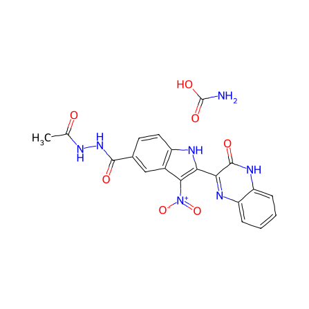 CC(=O)NNC(=O)c1ccc2[nH]c(-c3nc4ccccc4[nH]c3=O)c([N+](=O)[O-])c2c1.NC(=O)O